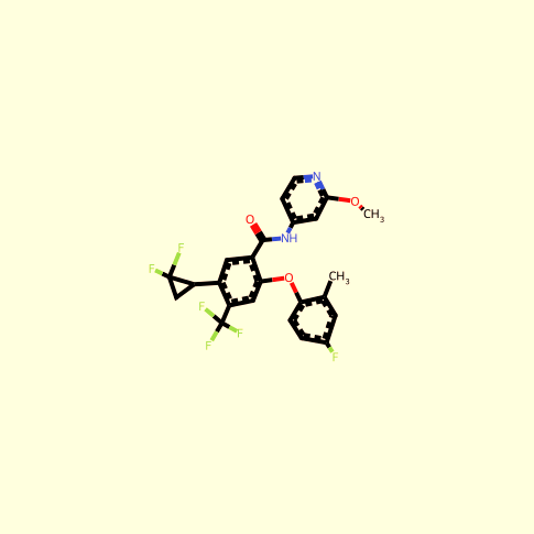 COc1cc(NC(=O)c2cc(C3CC3(F)F)c(C(F)(F)F)cc2Oc2ccc(F)cc2C)ccn1